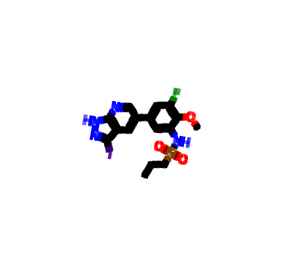 CCCS(=O)(=O)Nc1cc(-c2cnc3[nH]nc(I)c3c2)cc(F)c1OC